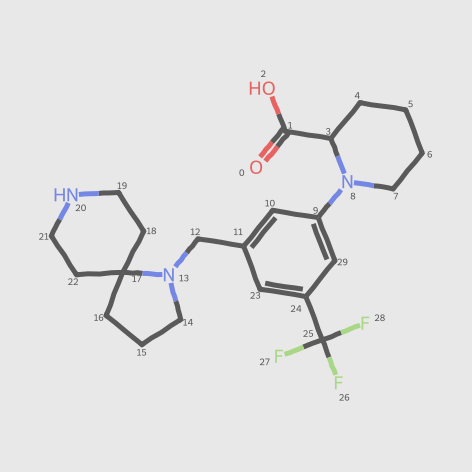 O=C(O)C1CCCCN1c1cc(CN2CCCC23CCNCC3)cc(C(F)(F)F)c1